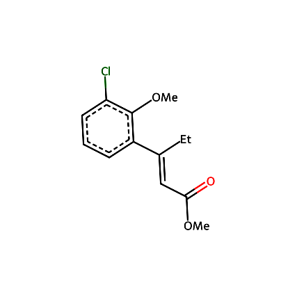 CC/C(=C\C(=O)OC)c1cccc(Cl)c1OC